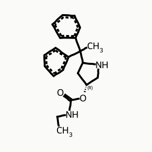 CCNC(=O)O[C@H]1CNC(C(C)(c2ccccc2)c2ccccc2)C1